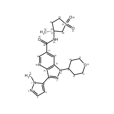 Cn1nccc1-c1nn(C2CCOCC2)c2cc(C(=O)N[C@@]3(C)CCS(=O)(=O)C3)cnc12